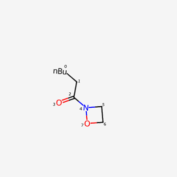 CCCCCC(=O)N1CCO1